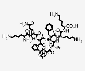 CC(C)C[C@H](NC(=O)[C@@H]1CCCN1C(=O)[C@@H](NC(=O)[C@H](CCC(N)=O)NC(=O)[C@@H](N)CCCCN)[C@@H](C)O)C(=O)N[C@H](C(=O)N[C@@H](Cc1ccccc1)C(=O)N[C@@H](CCCCN)C(=O)N[C@@H](CCCCN)C(=O)O)C(C)C